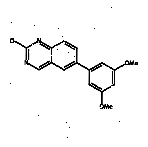 COc1cc(OC)cc(-c2ccc3nc(Cl)ncc3c2)c1